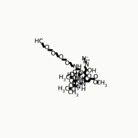 C#CCOCCOCCOCCOCCNC(=O)CO[C@@H]([C@@H]1OC(C(=O)OC)=C[C@H](N/C(=N/C(=O)OC(C)(C)C)NC(=O)OC(C)(C)C)[C@H]1NC(C)=O)[C@H](O)CN=[N+]=[N-]